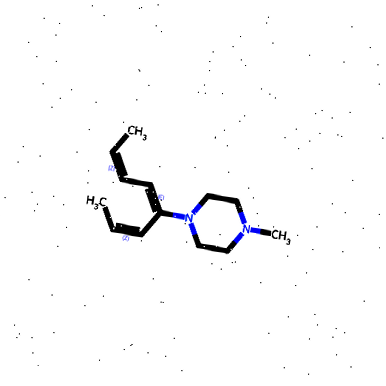 C\C=C/C=C(\C=C/C)N1CCN(C)CC1